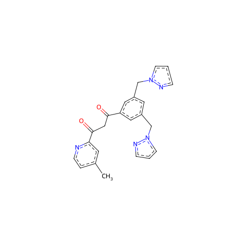 Cc1ccnc(C(=O)CC(=O)c2cc(Cn3cccn3)cc(Cn3cccn3)c2)c1